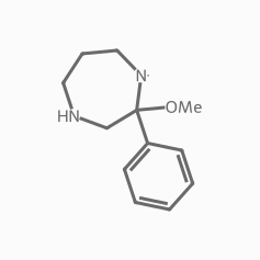 COC1(c2ccccc2)CNCCC[N]1